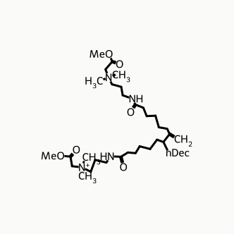 C=C(CCCCCC(=O)NCCC[N+](C)(C)CC(=O)OC)C(CCCCCCCCCC)CCCCCC(=O)NCCC[N+](C)(C)CC(=O)OC